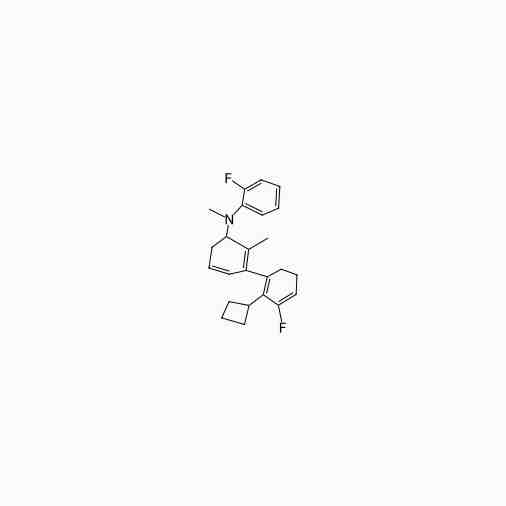 CC1=C(C2=C(C3CCC3)C(F)=CCC2)C=CCC1N(C)c1ccccc1F